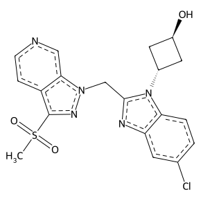 CS(=O)(=O)c1nn(Cc2nc3cc(Cl)ccc3n2[C@H]2C[C@H](O)C2)c2cnccc12